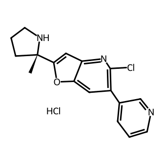 C[C@@]1(c2cc3nc(Cl)c(-c4cccnc4)cc3o2)CCCN1.Cl